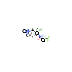 CN(C)c1ccccc1CN[C@@H]1C[C@H]1c1ccc(NC(=O)c2cccc(C(F)(F)F)c2)cc1.Cl